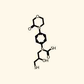 O=C(S)N(CC(O)CS)c1ccc(N2CCOCC2=O)cc1